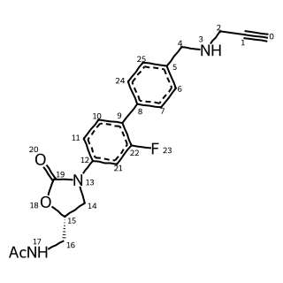 C#CCNCc1ccc(-c2ccc(N3C[C@H](CNC(C)=O)OC3=O)cc2F)cc1